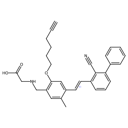 C#CCCCCOc1cc(/C=C/c2cccc(-c3ccccc3)c2C#N)c(C)cc1CNCC(=O)O